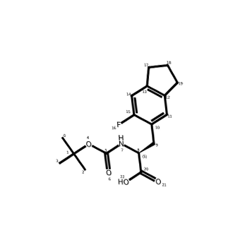 CC(C)(C)OC(=O)N[C@@H](Cc1cc2c(cc1F)CCC2)C(=O)O